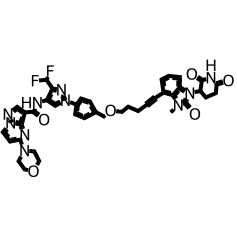 Cn1c(=O)n(C2CCC(=O)NC2=O)c2cccc(C#CCCCOCc3ccc(-n4cc(NC(=O)c5cnn6ccc(N7CCOCC7)nc56)c(C(F)F)n4)cc3)c21